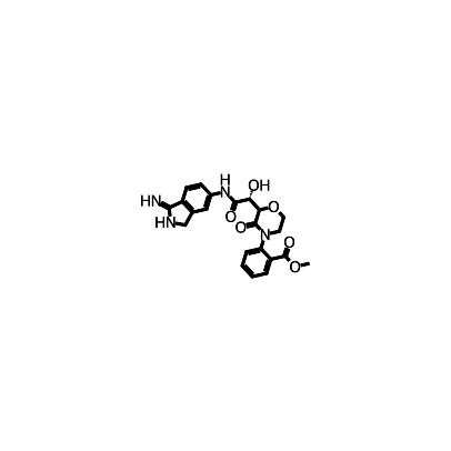 COC(=O)c1ccccc1N1CCOC([C@@H](O)C(=O)Nc2ccc3c(c2)CNC3=N)C1=O